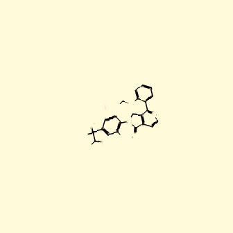 Cc1cc(C(C)(O)C(F)F)ccc1N1Cc2c(ccnc2-c2ccccc2OCC(F)(F)F)C1=O